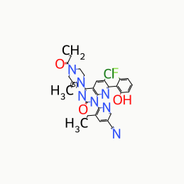 C=CC(=O)N1CCN(c2nc(=O)n(-c3ncc(C#N)cc3CC)c3nc(-c4c(O)cccc4F)c(Cl)cc23)[C@@H](C)C1